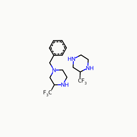 FC(F)(F)C1CN(Cc2ccccc2)CCN1.FC(F)(F)C1CNCCN1